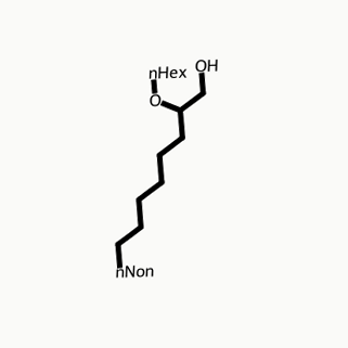 CCCCCCCCCCCCCCCC(CO)OCCCCCC